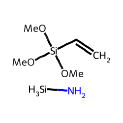 C=C[Si](OC)(OC)OC.N[SiH3]